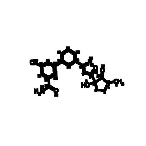 CN1CCC(O)(c2cc(-c3cccc(-c4cc(Cl)cc(C(N)=O)n4)c3)no2)C1=O